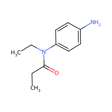 CCC(=O)N(CC)c1ccc(N)cc1